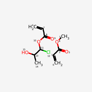 C=CC(=O)OC.C=CC(=O)OC(Cl)C(C)O